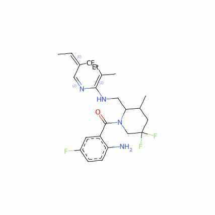 C\C=C(/C=N\C(NCC1C(C)CC(F)(F)CN1C(=O)c1cc(F)ccc1N)=C(\C)CC)C(F)(F)F